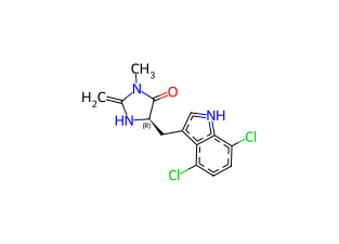 C=C1N[C@H](Cc2c[nH]c3c(Cl)ccc(Cl)c23)C(=O)N1C